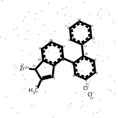 CC1=Cc2c(-c3ccccc3-c3ccccc3)cccc2[CH]1[Zr+2].[Cl-].[Cl-]